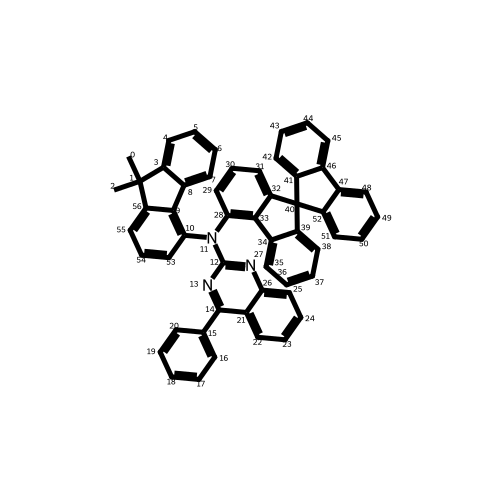 CC1(C)c2ccccc2-c2c(N(c3nc(-c4ccccc4)c4ccccc4n3)c3cccc4c3-c3ccccc3C43c4ccccc4-c4ccccc43)cccc21